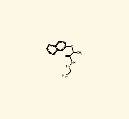 CCNNC(=O)C(C)Oc1ccc2ccccc2c1